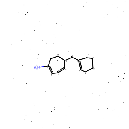 NC1=CC=CC(CC2=CCCCC2)CC1